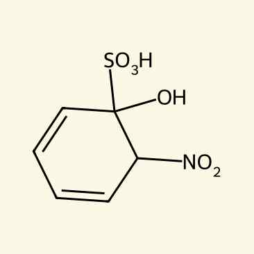 O=[N+]([O-])C1C=CC=CC1(O)S(=O)(=O)O